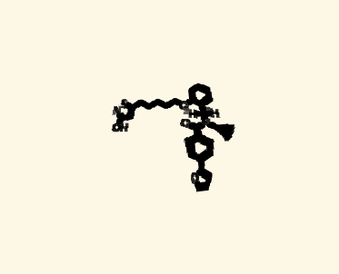 [2H]C([2H])(c1ccccc1OCCCCCc1cc(O)ns1)N(C(=O)c1ccc(-c2ccco2)cc1)C1CC1